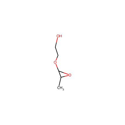 C[C]1OC1OCCO